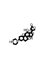 CC12CCC(N3CCCNCC3)CC1CCC1C2CC(O)C2(C)C(C3=CC(=O)OC3)CCC12O